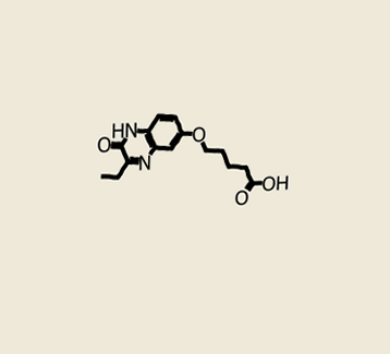 CCc1nc2cc(OCCCCC(=O)O)ccc2[nH]c1=O